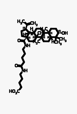 C=C(C)[C@@H]1CC[C@]2(C(=O)NCCCCC(=O)NCCCCC(=O)O)CC[C@]3(C)[C@H](CCC4[C@@]5(C)CC[C@H](O)C(C)(C)[C@@H]5CC[C@]43C)[C@@H]12